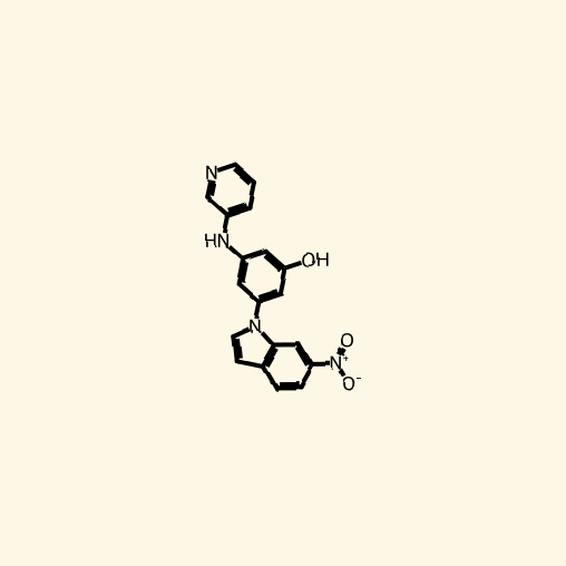 O=[N+]([O-])c1ccc2ccn(-c3cc(O)cc(Nc4cccnc4)c3)c2c1